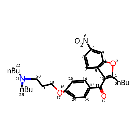 CCCCc1oc2cc([N+](=O)[O-])ccc2c1C(=O)c1ccc(OCCCN(CCCC)CCCC)cc1